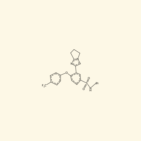 CC(C)NS(=O)(=O)c1ccc(Oc2ccc(C(F)(F)F)cc2)c(-c2cn3c(n2)CCC3)c1